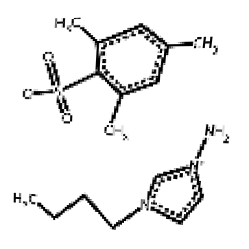 CCCCn1cc[n+](N)c1.Cc1cc(C)c(S(=O)(=O)[O-])c(C)c1